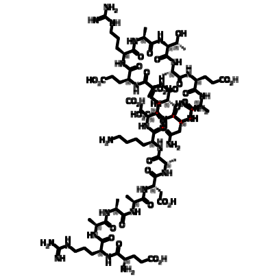 C[C@H](NC(=O)[C@H](C)NC(=O)[C@H](CCCNC(=N)N)NC(=O)[C@@H](N)CCC(=O)O)C(=O)N[C@@H](C)C(=O)N[C@@H](CC(=O)O)C(=O)N[C@@H](C)C(=O)N[C@@H](CCCCN)C(=O)N[C@@H](CC(=O)O)C(=O)N[C@@H](CCCNC(=N)N)C(=O)N[C@@H](C)C(=O)N[C@@H](CCC(=O)O)C(=O)N[C@@H](CCCNC(=N)N)C(=O)N[C@@H](C)C(=O)N[C@H](C(=O)N[C@@H](C)C(=O)N[C@@H](CCC(=O)O)C(=O)N[C@@H](C)C(=O)N[C@@H](CC(N)=O)C(=O)N[C@@H](CCC(=O)O)C(=O)O)[C@@H](C)O